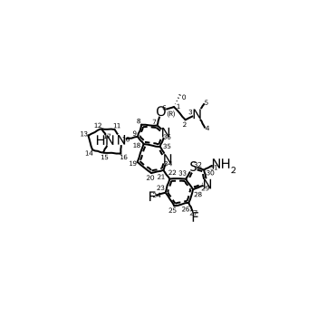 C[C@H](CN(C)C)Oc1cc(N2CC3CCC(C2)N3)c2ccc(-c3c(F)cc(F)c4nc(N)sc34)nc2n1